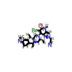 CC[C@H]1CN(C(C)c2ccc3ncsc3c2)[C@H](CC)CN1c1c(Br)c(=O)n(C)c2cn(CC#N)nc12